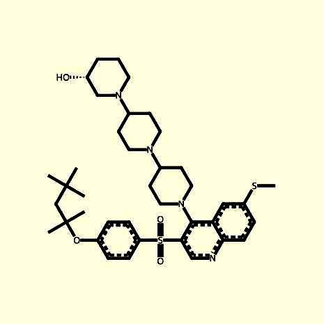 CSc1ccc2ncc(S(=O)(=O)c3ccc(OC(C)(C)CC(C)(C)C)cc3)c(N3CCC(N4CCC(N5CCC[C@@H](O)C5)CC4)CC3)c2c1